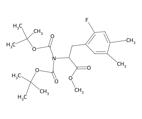 COC(=O)C(Cc1cc(C)c(C)cc1F)N(C(=O)OC(C)(C)C)C(=O)OC(C)(C)C